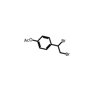 CC(=O)Oc1ccc(C(Br)CBr)cc1